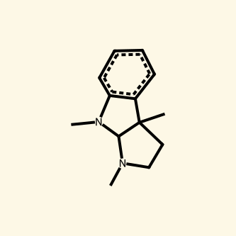 CN1CCC2(C)c3ccccc3N(C)C12